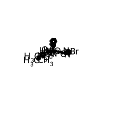 Cn1nc(OCCOc2ncc(Br)cn2)c(-c2cc3ccccc3s2)c1NS(=O)(=O)c1ccc(C(C)(C)C)cc1